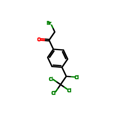 O=C(CBr)c1ccc(C(Cl)C(Cl)(Cl)Cl)cc1